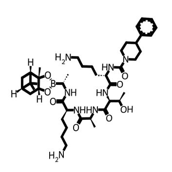 C[C@H](NC(=O)[C@H](CCCCN)NC(=O)[C@H](C)NC(=O)[C@@H](NC(=O)[C@H](CCCCN)NC(=O)N1CCC(c2ccccc2)CC1)[C@@H](C)O)B1O[C@@H]2C[C@@H]3C[C@@H](C3(C)C)[C@]2(C)O1